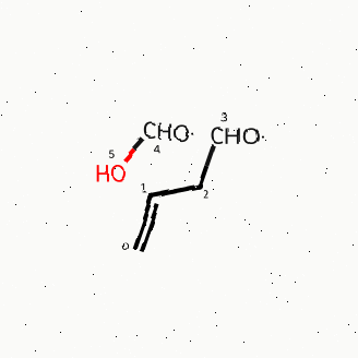 C=CC[C]=O.O=[C]O